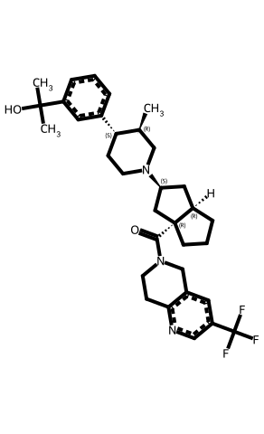 C[C@H]1CN([C@H]2C[C@H]3CCC[C@@]3(C(=O)N3CCc4ncc(C(F)(F)F)cc4C3)C2)CC[C@@H]1c1cccc(C(C)(C)O)c1